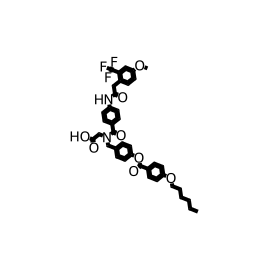 CCCCCCOc1ccc(C(=O)Oc2ccc(CN(CC(=O)O)C(=O)c3ccc(NC(=O)Cc4ccc(OC)cc4C(F)(F)F)cc3)cc2)cc1